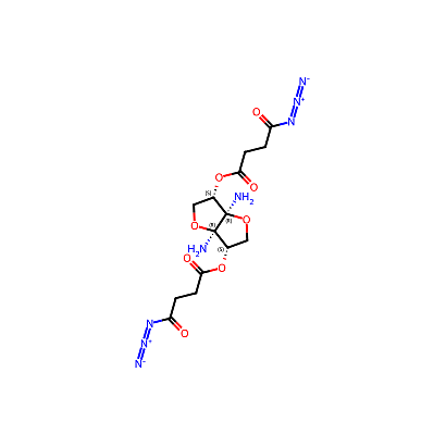 [N-]=[N+]=NC(=O)CCC(=O)O[C@H]1CO[C@]2(N)[C@@H](OC(=O)CCC(=O)N=[N+]=[N-])CO[C@]12N